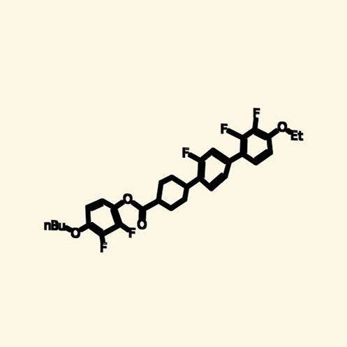 CCCCOc1ccc(OC(=O)C2CCC(c3ccc(-c4ccc(OCC)c(F)c4F)cc3F)CC2)c(F)c1F